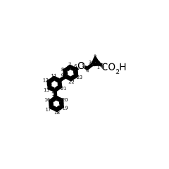 O=C(O)C1CC1COc1ccc(-c2cccc(-c3ccccc3)c2)cc1